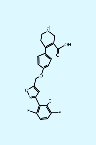 O=C(O)C1=C(c2ccc(OCc3cc(-c4c(F)ccc(F)c4Cl)no3)cc2)CCNC1